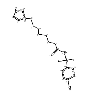 CC(C)(NC(=O)CCCCCCCn1ccnc1)c1ccc(Cl)cc1